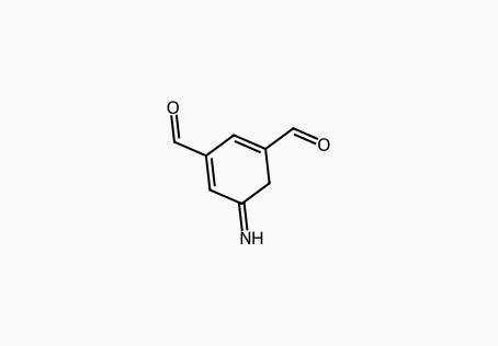 N=C1C=C(C=O)C=C(C=O)C1